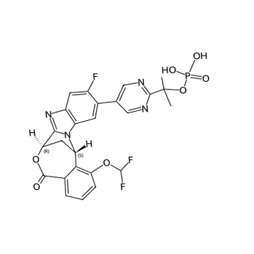 CC(C)(OP(=O)(O)O)c1ncc(-c2cc3c(cc2F)nc2n3[C@H]3C[C@H]2OC(=O)c2cccc(OC(F)F)c23)cn1